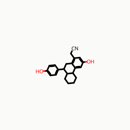 N#CCc1cc(O)cc2c1CC(c1ccc(O)cc1)C1CCCCC21